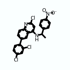 CC(Nc1cc(Cl)nc2ccc(-c3ccc(Cl)cc3Cl)cc12)c1ccc([N+](=O)[O-])cc1